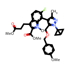 COC(=O)CCc1c(C(=O)OC)n(C)c2c(-c3c(C)nn(C45CC4C5)c3COCc3ccc(OC)cc3)c(F)ccc12